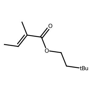 CC=C(C)C(=O)OCCC(C)(C)C